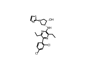 CCc1nc(-c2ccc(Cl)cc2Cl)c(CC)nc1N[C@@H]1CN(c2nccs2)C[C@@H]1O